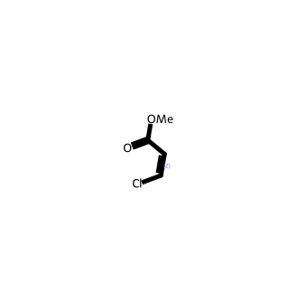 COC(=O)/C=C\Cl